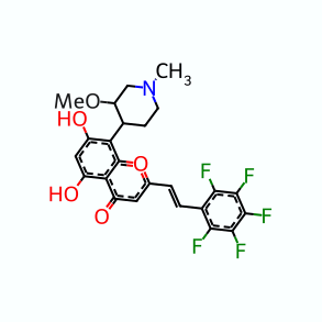 COC1CN(C)CCC1c1c(O)cc(O)c2c(=O)cc(/C=C/c3c(F)c(F)c(F)c(F)c3F)oc12